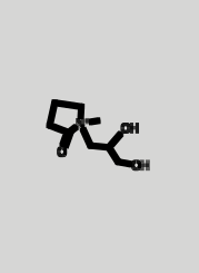 C[N+]1(CC(O)CO)CCCC1=O